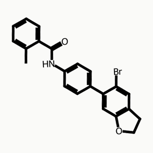 Cc1ccccc1C(=O)Nc1ccc(-c2cc3c(cc2Br)CCO3)cc1